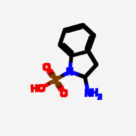 NC1Cc2ccccc2N1S(=O)(=O)O